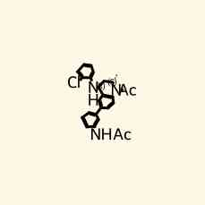 CC(=O)Nc1cccc(-c2ccc3c(c2)[C@H](Nc2ccccc2Cl)C[C@H](C)N3C(C)=O)c1